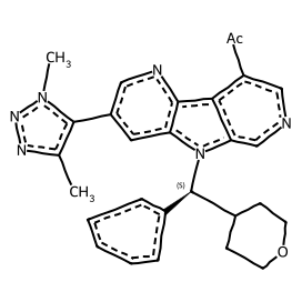 CC(=O)c1cncc2c1c1ncc(-c3c(C)nnn3C)cc1n2[C@H](c1ccccc1)C1CCOCC1